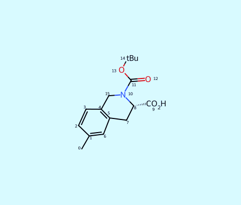 Cc1ccc2c(c1)C[C@@H](C(=O)O)N(C(=O)OC(C)(C)C)C2